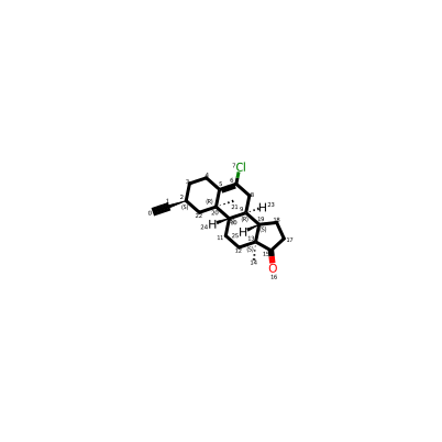 C#C[C@H]1CCC2=C(Cl)C[C@@H]3[C@H](CC[C@]4(C)C(=O)CC[C@@H]34)[C@@]2(C)C1